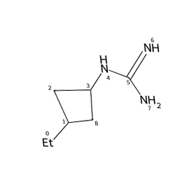 CCC1CC(NC(=N)N)C1